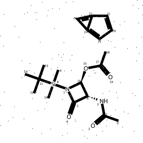 CC(=O)N[C@@H]1C(=O)N([Si](C)(C)C(C)(C)C)[C@H]1OC(C)=O.c1cc2cc-2c1